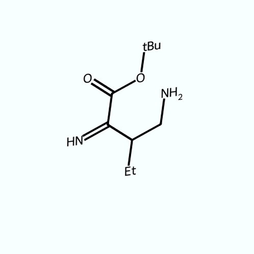 CCC(CN)C(=N)C(=O)OC(C)(C)C